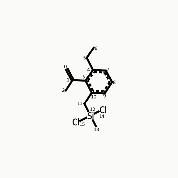 C=C(C)c1c(CC)cccc1C[Si](C)(Cl)Cl